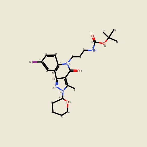 Cc1c2c(=O)n(CCCNC(=O)OC(C)(C)C)c3ccc(I)cc3c2nn1C1CCCCO1